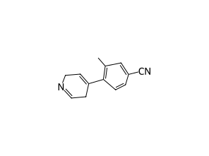 Cc1cc(C#N)ccc1C1=CCN=CC1